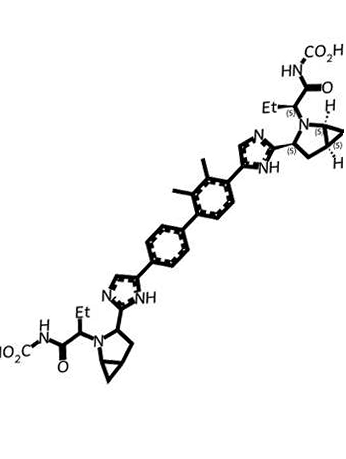 CCC(C(=O)NC(=O)O)N1C(c2ncc(-c3ccc(-c4ccc(-c5cnc([C@@H]6C[C@@H]7C[C@@H]7N6[C@@H](CC)C(=O)NC(=O)O)[nH]5)c(C)c4C)cc3)[nH]2)CC2CC21